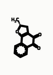 C[C@@H]1CC2=C(O1)c1ccccc1C(=O)C2=O